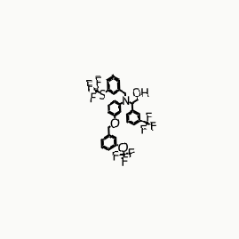 OCC(c1cccc(C(F)(F)F)c1)N(Cc1cccc(SC(F)(F)F)c1)c1cccc(OCc2cccc(OC(F)(F)F)c2)c1